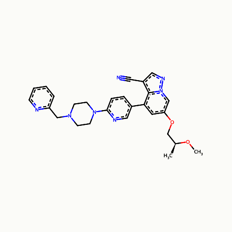 CO[C@@H](C)COc1cc(-c2ccc(N3CCN(Cc4ccccn4)CC3)nc2)c2c(C#N)cnn2c1